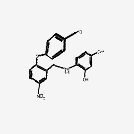 O=[N+]([O-])c1ccc(Sc2ccc(Cl)cc2)c(CNc2ccc(O)cc2O)c1